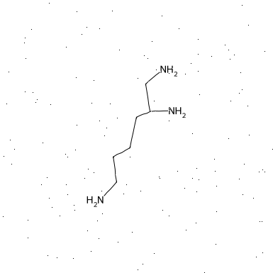 NCCCCC(N)CN